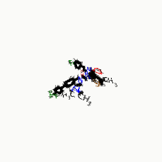 CCN(CC)CCN(Cc1ccc(-c2ccc(C(F)(F)F)cc2)cc1)C(=O)Cn1c(CCc2ccc(F)cc2)nc(=O)c2c(C)csc21